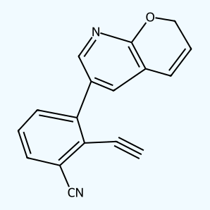 C#Cc1c(C#N)cccc1-c1cnc2c(c1)C=CCO2